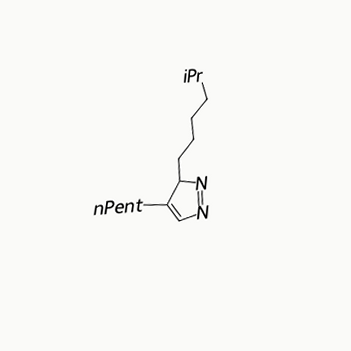 CCCCCC1=CN=NC1CCCCC(C)C